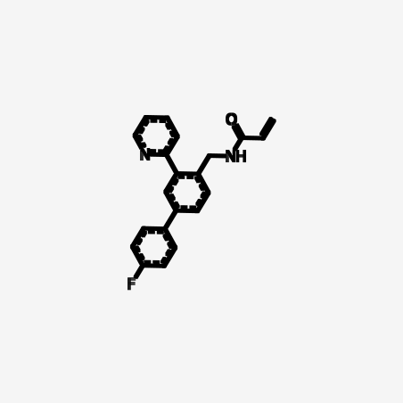 C=CC(=O)NCc1ccc(-c2ccc(F)cc2)cc1-c1ccccn1